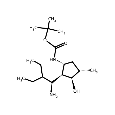 CCC(CC)[C@H](N)[C@@H]1[C@H](O)[C@@H](C)C[C@H]1NC(=O)OC(C)(C)C